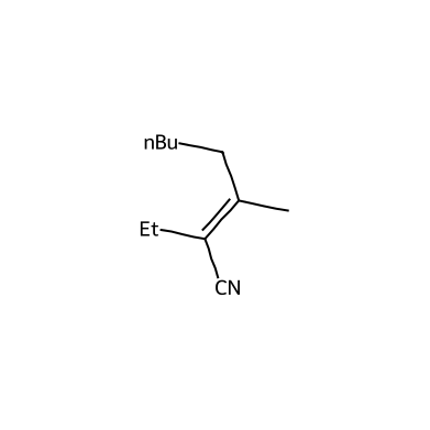 CCCCCC(C)=C(C#N)CC